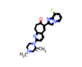 C[C@H]1CN(C)CCN1c1ccc2c(n1)CCC(=O)C(c1cn3cccc(F)c3n1)=C2